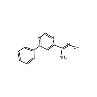 N/C(=N\O)c1cc(-c2ccccc2)ncn1